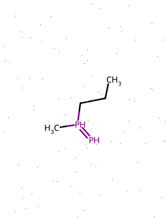 CCC[PH](C)=P